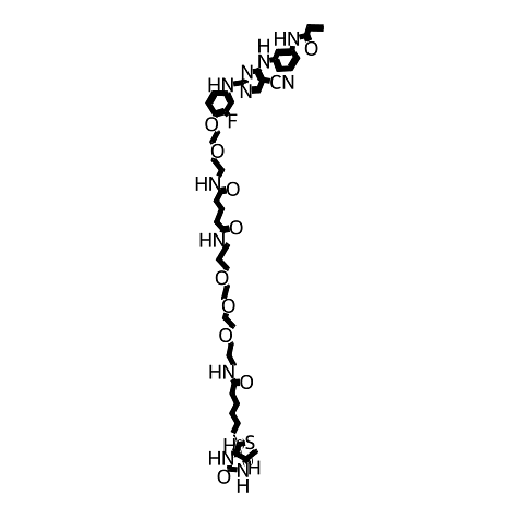 C=CC(=O)Nc1cccc(Nc2nc(Nc3ccc(OCCOCCNC(=O)CCCC(=O)NCCCOCCOCCOCCCNC(=O)CCCCC[C@@H]4SC[C@@H]5NC(=O)N[C@@H]54)c(F)c3)ncc2C#N)c1